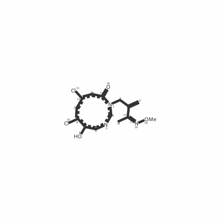 C=C(Cn1cncc(O)c(Cl)cc(Cl)cc1=O)/C(C)=N\OC